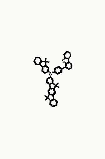 CC1(C)C2=C(C=CCC2)c2ccc(N(c3ccc(-c4cccc5c4SC4C=CCCC54)cc3)c3ccc4c(c3)C(C)(C)c3cc5c(cc3-4)C(C)(C)c3ccccc3-5)cc21